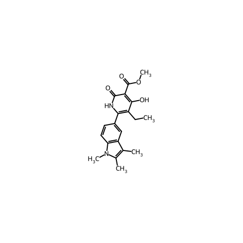 CCc1c(-c2ccc3c(c2)c(C)c(C)n3C)[nH]c(=O)c(C(=O)OC)c1O